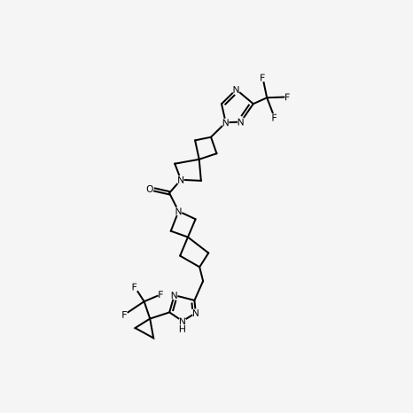 O=C(N1CC2(CC(Cc3n[nH]c(C4(C(F)(F)F)CC4)n3)C2)C1)N1CC2(CC(n3cnc(C(F)(F)F)n3)C2)C1